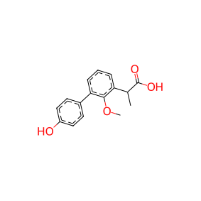 COc1c(-c2ccc(O)cc2)cccc1C(C)C(=O)O